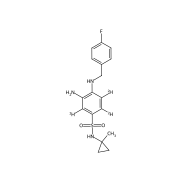 [2H]c1c([2H])c(S(=O)(=O)NC2(C)CC2)c([2H])c(N)c1NCc1ccc(F)cc1